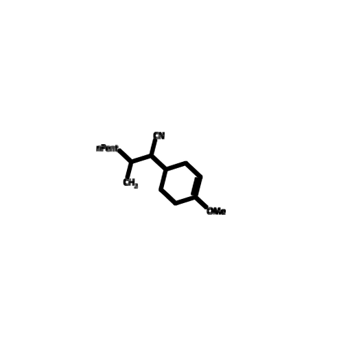 CCCCCC(C)C(C#N)C1CC=C(OC)CC1